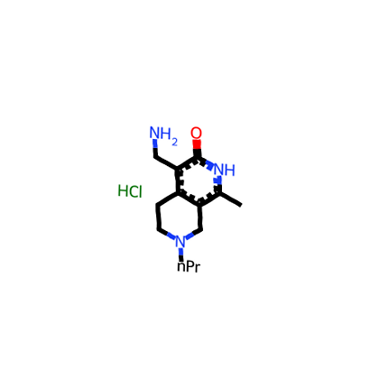 CCCN1CCc2c(c(C)[nH]c(=O)c2CN)C1.Cl